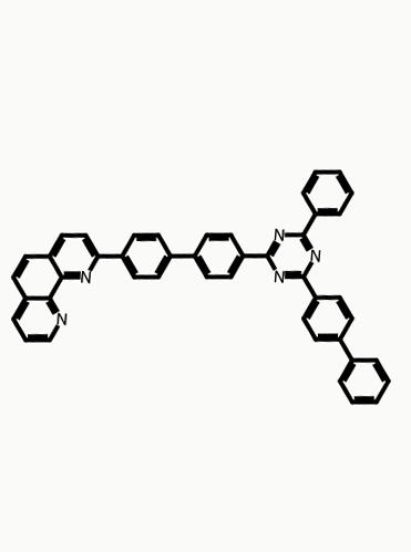 c1ccc(-c2ccc(-c3nc(-c4ccccc4)nc(-c4ccc(-c5ccc(-c6ccc7ccc8cccnc8c7n6)cc5)cc4)n3)cc2)cc1